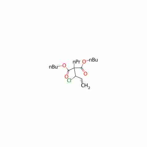 C=CC(Cl)C(CCC)(C(=O)OCCCC)C(=O)OCCCC